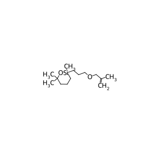 C=C(C)COCCC[Si]1(C)CCCC(C)(C)O1